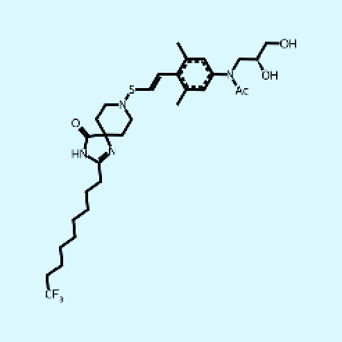 CC(=O)N(C[C@H](O)CO)c1cc(C)c(/C=C/SN2CCC3(CC2)N=C(CCCCCCCCC(F)(F)F)NC3=O)c(C)c1